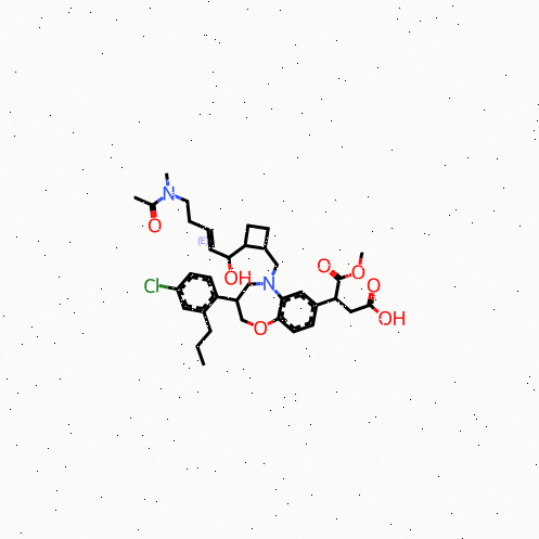 CCCc1cc(Cl)ccc1C1COc2ccc(C(CC(=O)O)C(=O)OC)cc2N(CC2CCC2C(O)/C=C/CCN(C)C(C)=O)C1